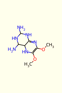 COC1=C(OC)NC2C(=N1)NC(N)NC2N